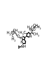 Cc1cc(N(C)C(=O)OC(C)(C)C)ncc1-c1cn(COCC[Si](C)(C)C)c2nc(NC3CC3)ccc12